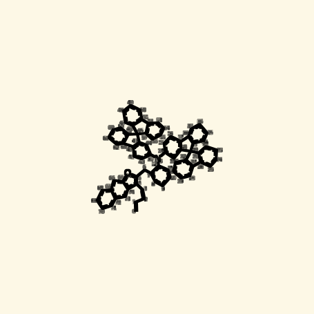 C=C/C=C\c1c(Cc2ccccc2N(c2ccc3c(c2)C2(c4ccccc4-c4ccccc42)c2ccccc2-3)c2ccc3c(c2)C2(c4ccccc4-c4ccccc42)c2ccccc2-3)oc2cc3ccccc3cc12